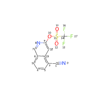 N#Cc1cccc2cnc(OS(=O)(=O)C(F)(F)F)cc12